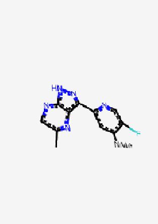 CNc1cc(-c2n[nH]c3ncc(C)nc23)ncc1F